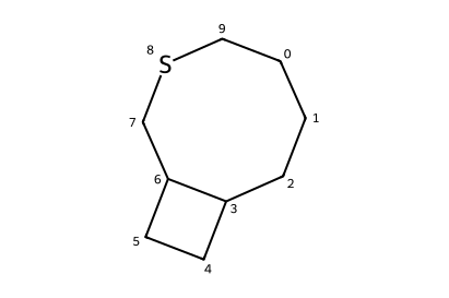 C1CCC2CCC2CSC1